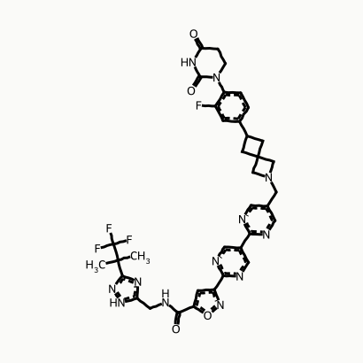 CC(C)(c1n[nH]c(CNC(=O)c2cc(-c3ncc(-c4ncc(CN5CC6(CC(c7ccc(N8CCC(=O)NC8=O)c(F)c7)C6)C5)cn4)cn3)no2)n1)C(F)(F)F